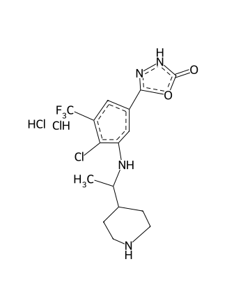 CC(Nc1cc(-c2n[nH]c(=O)o2)cc(C(F)(F)F)c1Cl)C1CCNCC1.Cl.Cl